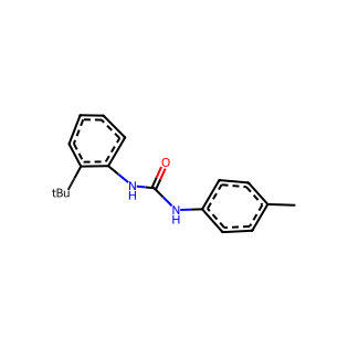 Cc1ccc(NC(=O)Nc2ccccc2C(C)(C)C)cc1